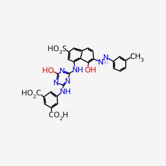 Cc1cccc(/N=N/c2ccc3cc(S(=O)(=O)O)cc(Nc4nc(O)nc(Nc5cc(C(=O)O)cc(C(=O)O)c5)n4)c3c2O)c1